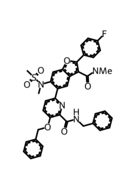 CNC(=O)c1c(-c2ccc(F)cc2)oc2cc(N(C)S(C)(=O)=O)c(-c3ccc(OCc4ccccc4)c(C(=O)NCc4ccccc4)n3)cc12